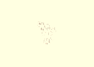 COc1cc(C(=O)N[C@@H]2CCC[C@@H]2F)ccc1Nc1ncc2c(n1)N(C1CCCC1)CC1(CC1)C(=O)N2C